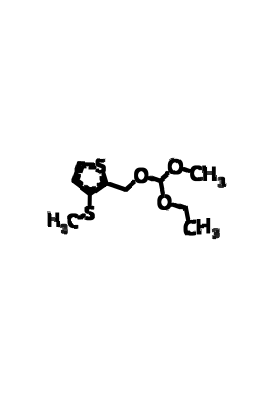 CCOC(OC)OCc1sccc1SC